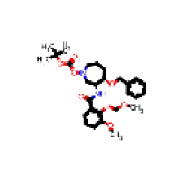 COCOc1c(OC)cccc1C(=O)N[C@@H]1CN(OC(=O)OC(C)(C)C)CCC[C@H]1OCc1ccccc1